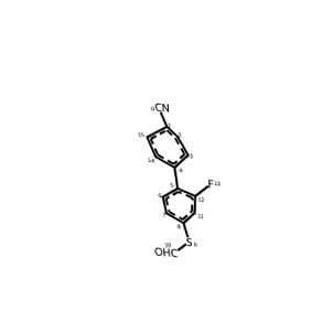 N#Cc1ccc(-c2ccc(SC=O)cc2F)cc1